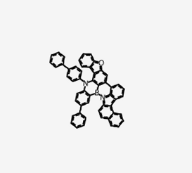 c1ccc(-c2ccc(N3c4ccc(-c5ccccc5)cc4B4c5c(cc6oc7ccccc7c6c53)-c3cccc5c6c7ccccc7ccc6n4c35)cc2)cc1